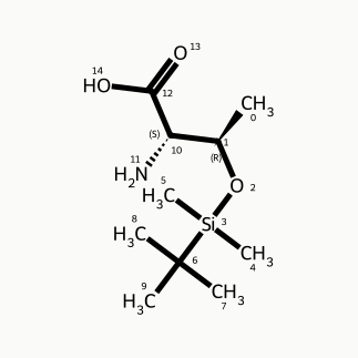 C[C@@H](O[Si](C)(C)C(C)(C)C)[C@H](N)C(=O)O